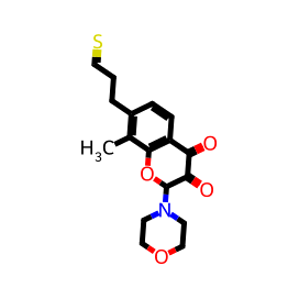 Cc1c(CCC=S)ccc2c1OC(N1CCOCC1)C(=O)C2=O